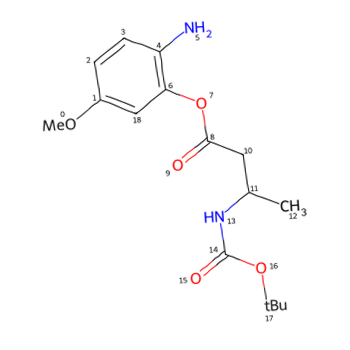 COc1ccc(N)c(OC(=O)CC(C)NC(=O)OC(C)(C)C)c1